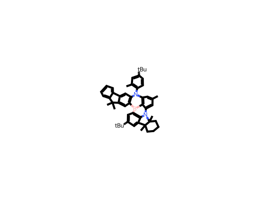 Cc1cc2c3c(c1)N1c4c(cc(C(C)(C)C)cc4C4(C)CCCCC14C)B3c1cc3c(cc1N2c1ccc(C(C)(C)C)cc1C)-c1ccccc1C3(C)C